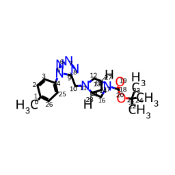 Cc1ccc(-n2nnnc2CN2C[C@@H]3C[C@H]2CN3C(=O)OC(C)(C)C)cc1